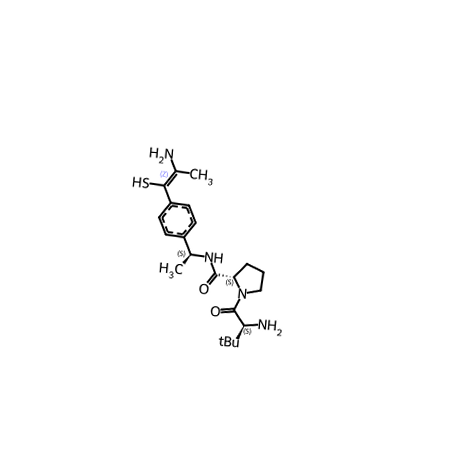 C/C(N)=C(/S)c1ccc([C@H](C)NC(=O)[C@@H]2CCCN2C(=O)[C@@H](N)C(C)(C)C)cc1